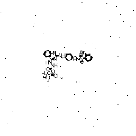 CC(C)(C)OC(=O)NNc1nc(NC[C@H]2CC[C@H](CNS(=O)(=O)c3ccccc3Br)CC2)nc2ccccc12